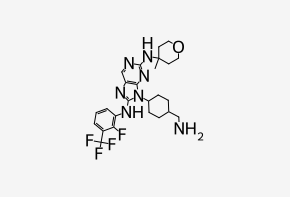 CC1(Nc2ncc3nc(Nc4cccc(C(F)(F)F)c4F)n(C4CCC(CN)CC4)c3n2)CCOCC1